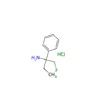 CCC(N)(CF)c1ccccc1.Cl